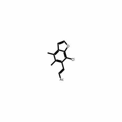 CC(=O)C=Cc1c(C)c(C)c2ccoc2c1Cl